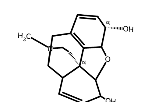 CN1CC[C@]23C4=C5C=C[C@H](O)C4OC2C(O)C=CC3C1C5